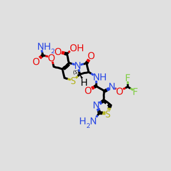 NC(=O)OCC1=C(C(=O)O)N2C(=O)C(NC(=O)C(=NOC(F)F)c3csc(N)n3)[C@@H]2SC1